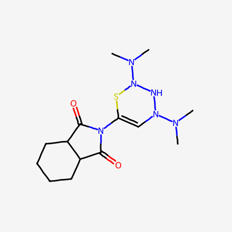 CN(C)n1cc(N2C(=O)C3CCCCC3C2=O)sn(N(C)C)[nH]1